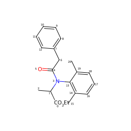 CCOC(=O)C(C)N(C(=O)Cc1ccccc1)c1c(C)cccc1C